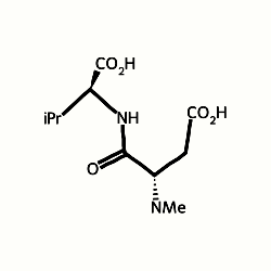 CN[C@@H](CC(=O)O)C(=O)N[C@H](C(=O)O)C(C)C